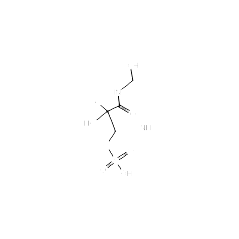 CCNC(=O)C(C)(O)COS(=O)(=O)O.N